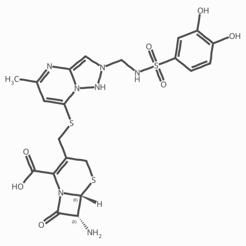 CC1=NC2=CN(CNS(=O)(=O)c3ccc(O)c(O)c3)NN2C(SCC2=C(C(=O)O)N3C(=O)[C@@H](N)[C@H]3SC2)=C1